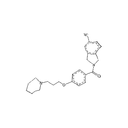 N#Cc1ccc2c(c1)CN(C(=O)c1ccc(OCCCN3CCCCC3)cc1)C2